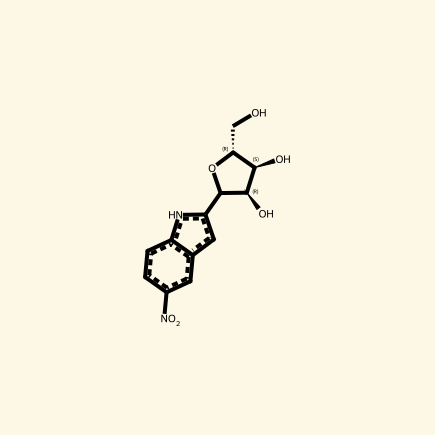 O=[N+]([O-])c1ccc2[nH]c(C3O[C@H](CO)[C@@H](O)[C@H]3O)cc2c1